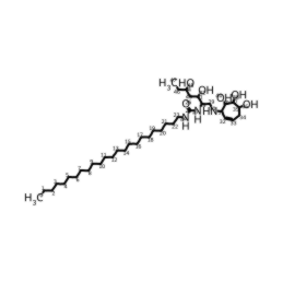 CCCCCCCCCCCCCCCCCCCCCCCCNC(=O)NC(CNC1C=CCC(O)C(O)C1O)C(O)CC(O)CC